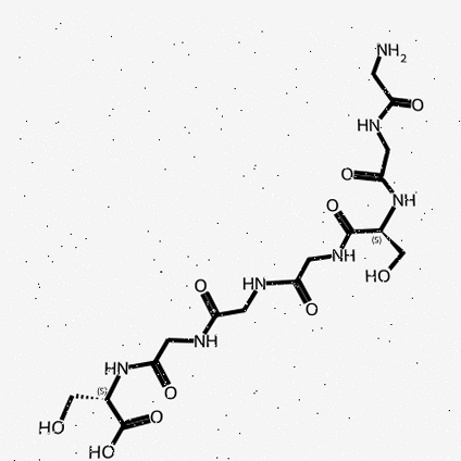 NCC(=O)NCC(=O)N[C@@H](CO)C(=O)NCC(=O)NCC(=O)NCC(=O)N[C@@H](CO)C(=O)O